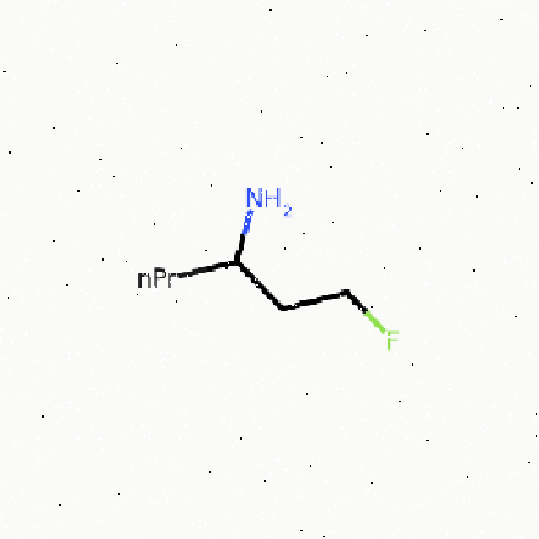 CCCC(N)CCF